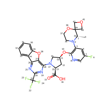 C[C@@H]1N(c2cc(F)cnc2O[C@H]2C[C@@H](C(=O)O)N(c3nc(C(F)(F)F)nc4c3oc3ccccc34)C2)CCOC12COC2